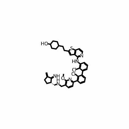 C=C1CC[C@@H](CNCc2ccc(-c3cccc(-c4cccc(Nc5nccc6sc(CCC7CCC(O)CC7)cc56)c4Cl)c3Cl)nc2OC)C1=N